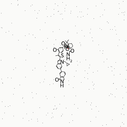 COc1cc(C(=O)N2CC3CCC2(C(C)(C)C)[C@@H]3OC(N)=O)cc2sc(-c3cc4ccc(-c5ccc6c(c5)C(=O)NC6)cc4n3CC3CC3)c(C)c12